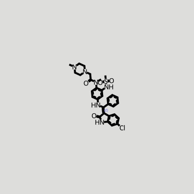 CN1CCN(CC(=O)N(C)c2ccc(N/C(=C3\C(=O)Nc4cc(Cl)ccc43)c3ccccc3)cc2NS(C)(=O)=O)CC1